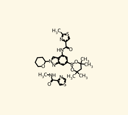 CNC(=O)c1cscn1.Cc1nc(C(=O)Nc2cc(B3OC(C)(C)CC(C)(C)O3)cc3nn(C4CCCCO4)cc23)cs1